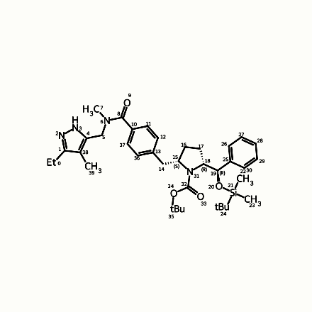 CCc1n[nH]c(CN(C)C(=O)c2ccc(C[C@@H]3CC[C@H]([C@H](O[Si](C)(C)C(C)(C)C)c4ccccc4)N3C(=O)OC(C)(C)C)cc2)c1C